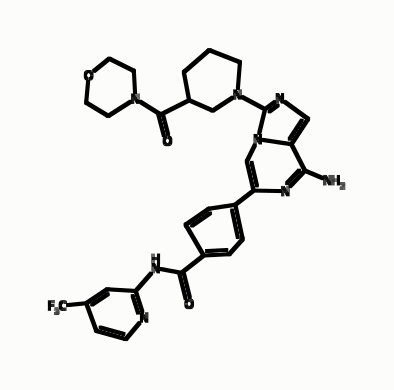 Nc1nc(-c2ccc(C(=O)Nc3cc(C(F)(F)F)ccn3)cc2)cn2c(N3CCCC(C(=O)N4CCOCC4)C3)ncc12